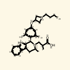 CC(CN1C(C)Cc2c([nH]c3ccccc23)[C@H]1c1c(F)cc(OC2CN(CCCF)C2)cc1F)C(=O)O